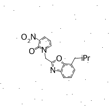 CC(C)Cc1cccc2nc(Cn3cccc([N+](=O)[O-])c3=O)oc12